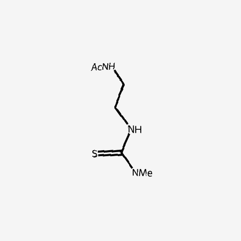 CNC(=S)NCCNC(C)=O